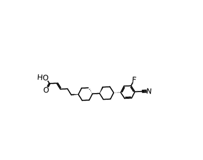 N#Cc1ccc([C@H]2CC[C@H]([C@H]3CC[C@H](CC/C=C/C(=O)O)CC3)CC2)cc1F